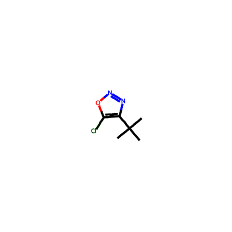 CC(C)(C)c1nnoc1Cl